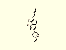 C=CC1CCC(/C=C/c2ccc(CC/C=C/C)c(F)c2C(F)F)CO1